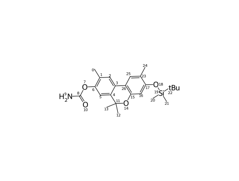 Cc1cc2c(cc1OC(N)=O)C(C)(C)Oc1cc(O[Si](C)(C)C(C)(C)C)c(C)cc1-2